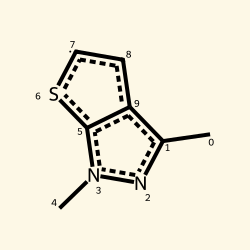 Cc1nn(C)c2s[c]cc12